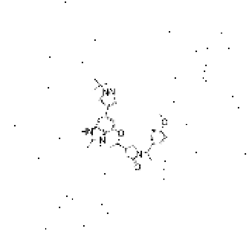 COc1ccc(C(C)N2C[C@H](C(C)Oc3cc(-c4cnn(C(C)(C)C)c4)cc4[nH]c(C)nc34)CC2=O)cc1